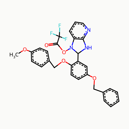 COc1ccc(COc2ccc(OCc3ccccc3)cc2C2Nc3ncccc3N2OC(=O)C(F)(F)F)cc1